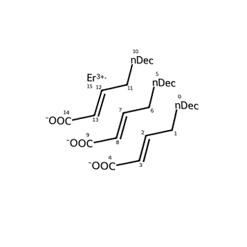 CCCCCCCCCCCC=CC(=O)[O-].CCCCCCCCCCCC=CC(=O)[O-].CCCCCCCCCCCC=CC(=O)[O-].[Er+3]